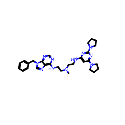 CN(CCNc1cc(N2CCCC2)nc(N2CCCC2)n1)CCNc1ncnc2c1ncn2Cc1ccccc1